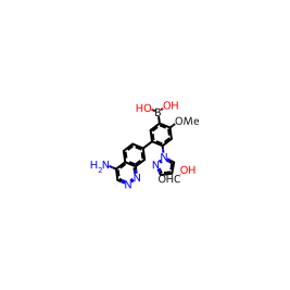 COc1cc(-n2cccn2)c(-c2ccc3c(N)cnnc3c2)cc1B(O)O.O=CO